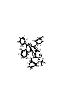 Cc1ccc(-c2c(C)n(C(Cc3ccccc3)C(=O)OC(C)(C)C)c(=O)n2N=C(c2ccccc2)c2ccccc2)cc1